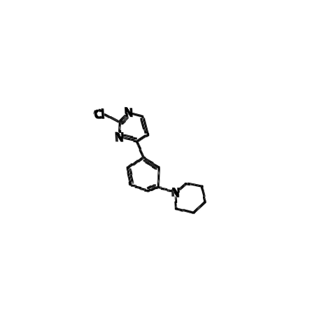 Clc1nccc(-c2cccc(N3CCCCC3)c2)n1